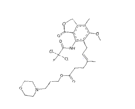 COc1c(C)c2c(c(NC(=O)C(F)(Cl)Cl)c1C/C=C(\C)CCC(=O)OCCCN1CCOCC1)C(=O)OC2